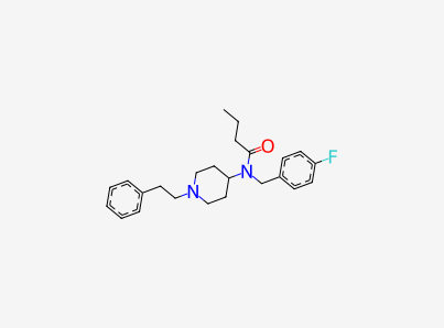 CCCC(=O)N(Cc1ccc(F)cc1)C1CCN(CCc2ccccc2)CC1